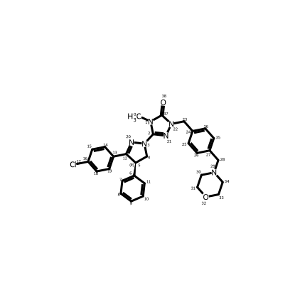 Cn1c(N2C[C@@H](c3ccccc3)C(c3ccc(Cl)cc3)=N2)nn(Cc2ccc(CN3CCOCC3)cc2)c1=O